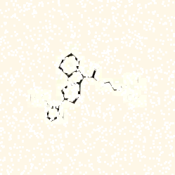 CN(C)CCOC(=O)c1c2ccccc2n2cc(-c3nccn3C)ccc12